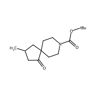 CC1CC(=O)C2(CCN(C(=O)OC(C)(C)C)CC2)C1